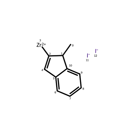 CC1[C]([Zr+2])=Cc2ccccc21.[I-].[I-]